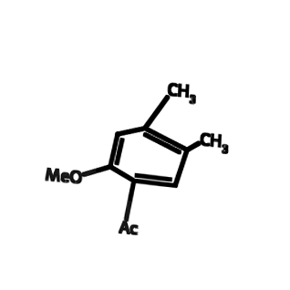 COc1cc(C)c(C)cc1C(C)=O